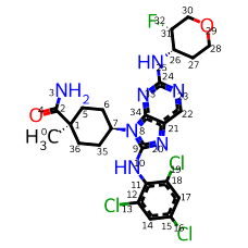 C[C@]1(C(N)=O)CC[C@@H](n2c(Nc3c(Cl)cc(Cl)cc3Cl)nc3cnc(N[C@H]4CCOC[C@H]4F)nc32)CC1